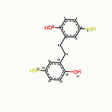 Oc1ccc(S)cc1CCc1cc(S)ccc1O